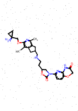 Cc1nc(OCC2(N)CC2)c(C#N)c2c1CC(CNCCC1CN(c3ccc4c(n3)NC(=O)CO4)C(=O)O1)C2